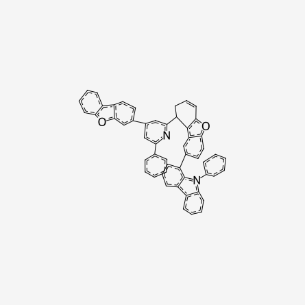 C1=Cc2oc3ccc(-c4cccc5c6ccccc6n(-c6ccccc6)c45)cc3c2C(c2cc(-c3ccc4c(c3)oc3ccccc34)cc(-c3ccccc3)n2)C1